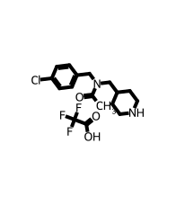 CC(=O)N(Cc1ccc(Cl)cc1)CC1CCNCC1.O=C(O)C(F)(F)F